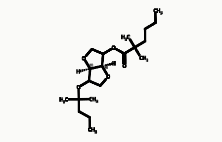 CCCCC(C)(C)C(=O)OC1CO[C@@H]2C(OC(C)(C)CCC)CO[C@H]12